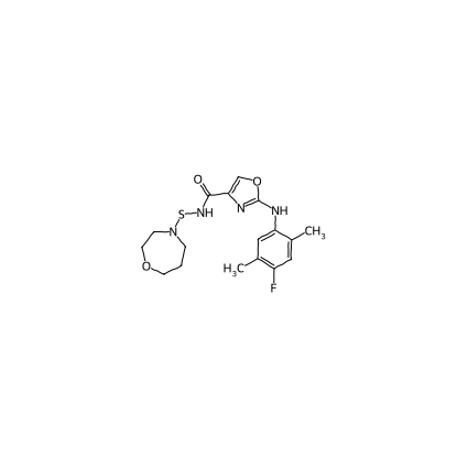 Cc1cc(Nc2nc(C(=O)NSN3CCCOCC3)co2)c(C)cc1F